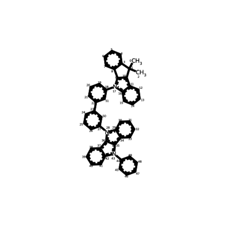 CC1(C)c2ccccc2-c2c1c1ccccc1n2-c1cccc(-c2cccc(-n3c4ccccc4c4c3c3ccccc3n4-c3ccccc3)c2)c1